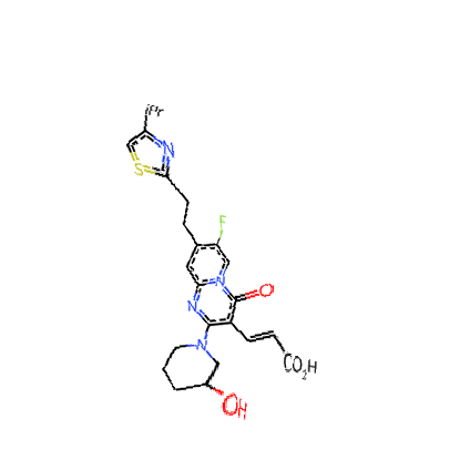 CC(C)c1csc(CCc2cc3nc(N4CCCC(O)C4)c(C=CC(=O)O)c(=O)n3cc2F)n1